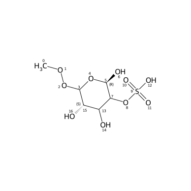 COOC1O[C@@H](O)C(OS(=O)(=O)O)C(O)[C@@H]1O